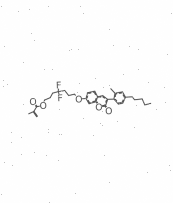 C=C(C)C(=O)OCCCC(F)(F)CCCOc1ccc2cc(-c3ccc(CCCCC)cc3C)c(=O)oc2c1